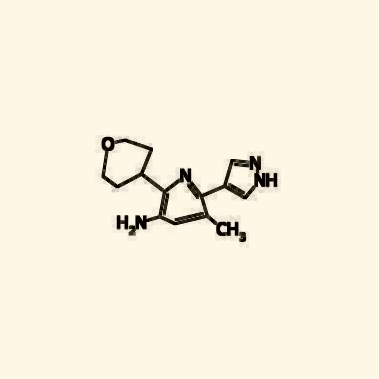 Cc1cc(N)c(C2CCOCC2)nc1-c1cn[nH]c1